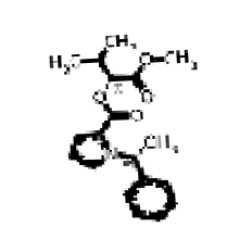 COC(=O)[C@H](OC(=O)c1cccn1[C@H](C)c1ccccc1)C(C)C